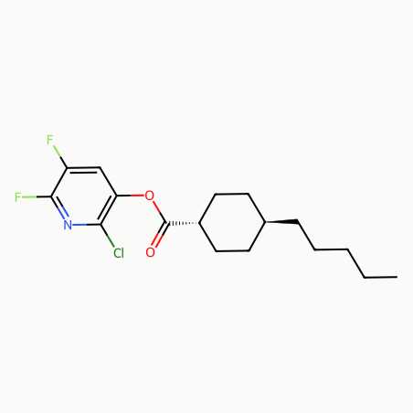 CCCCC[C@H]1CC[C@H](C(=O)Oc2cc(F)c(F)nc2Cl)CC1